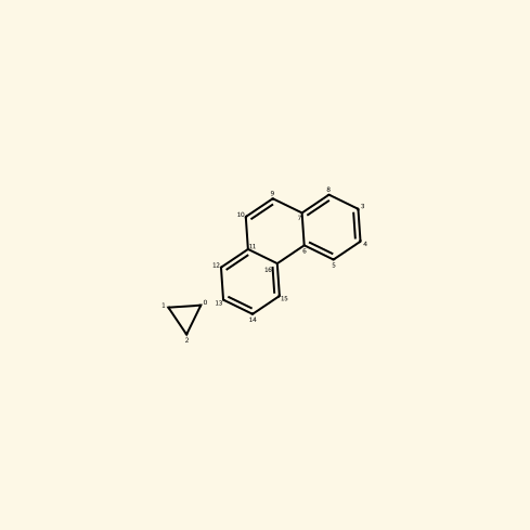 C1CC1.c1ccc2c(c1)ccc1ccccc12